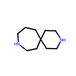 C1CNCCC2(C1)CCNCC2